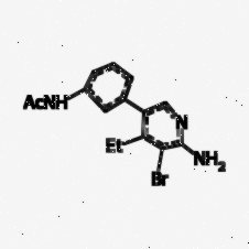 CCc1c(-c2cccc(NC(C)=O)c2)cnc(N)c1Br